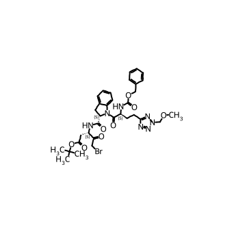 COCn1nnc(CC[C@H](NC(=O)OCc2ccccc2)C(=O)N2c3ccccc3C[C@H]2C(=O)N[C@@H](CC(=O)OC(C)(C)C)C(=O)CBr)n1